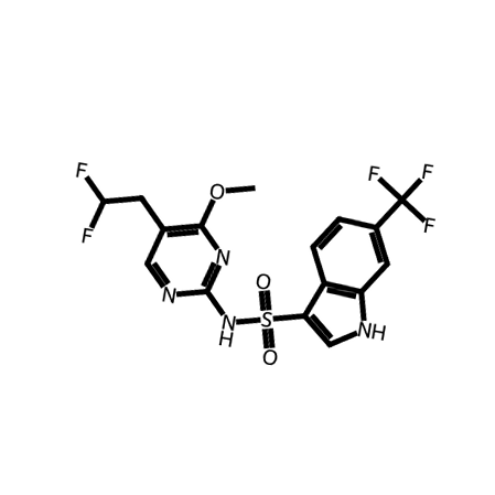 COc1nc(NS(=O)(=O)c2c[nH]c3cc(C(F)(F)F)ccc23)ncc1CC(F)F